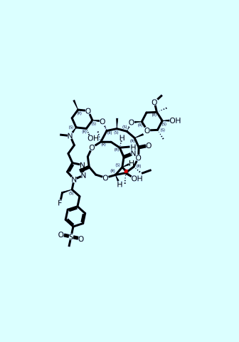 C=C1CO[C@@H]2[C@@H](C)C(=N)[C@H](C)C[C@@](C)(OC1)[C@H](O[C@@H]1O[C@H](C)C[C@H](N(C)CCc3cn([C@H](CF)Cc4ccc(S(C)(=O)=O)cc4)nn3)[C@H]1O)[C@@H](C)[C@H](O[C@H]1C[C@@](C)(OC)[C@@H](O)[C@H](C)O1)[C@@H](C)C(=O)O[C@H](CC)[C@@]2(C)O